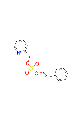 O=S(=O)(OC=Cc1ccccc1)OCc1ccccn1